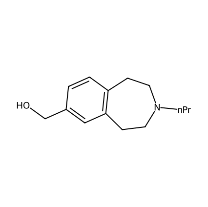 CCCN1CCc2ccc(CO)cc2CC1